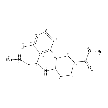 CC(C)(C)NCC(NC1CCN(C(=O)OC(C)(C)C)CC1)c1ccccc1Cl